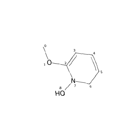 COC1=CC=CCN1O